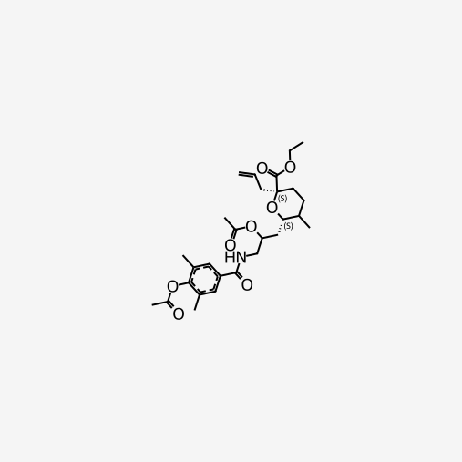 C=CC[C@]1(C(=O)OCC)CCC(C)[C@H](CC(CNC(=O)c2cc(C)c(OC(C)=O)c(C)c2)OC(C)=O)O1